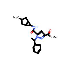 CNC(=O)c1cc(C(=O)NC2C3CC(OC)CC32)n(C(C)c2ccccc2)n1